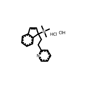 C[Si](C)(C)C1(CCc2ccccn2)C=Cc2ccccc21.Cl.Cl